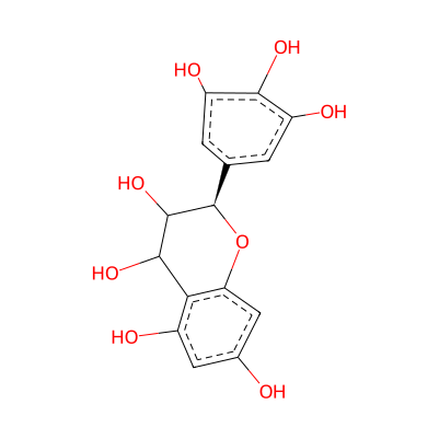 Oc1cc(O)c2c(c1)O[C@H](c1cc(O)c(O)c(O)c1)C(O)C2O